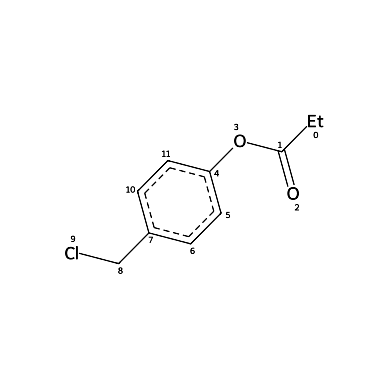 CCC(=O)Oc1ccc(CCl)cc1